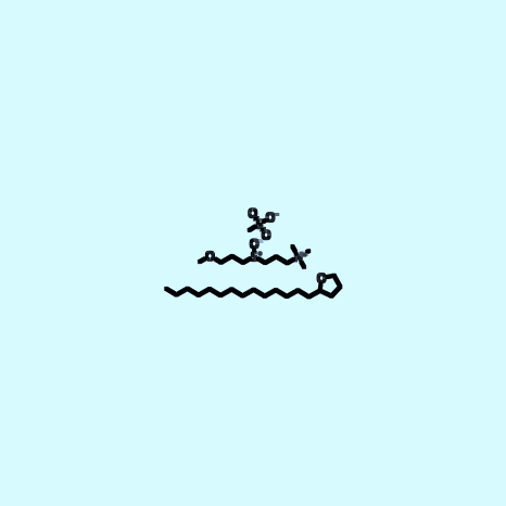 CCCCCCCCCCCCCCC1CCCO1.COCCC[S+]([O-])CCC[N+](C)(C)C.CS(=O)(=O)[O-]